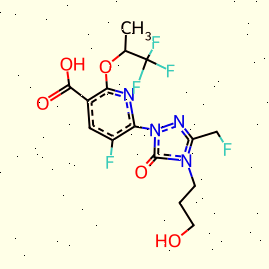 CC(Oc1nc(-n2nc(CF)n(CCCO)c2=O)c(F)cc1C(=O)O)C(F)(F)F